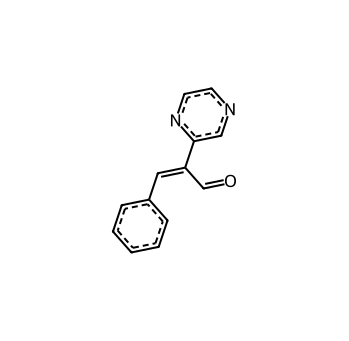 O=CC(=Cc1ccccc1)c1cnccn1